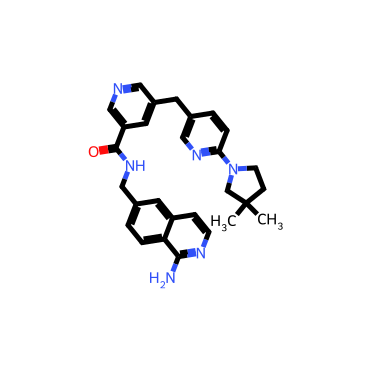 CC1(C)CCN(c2ccc(Cc3cncc(C(=O)NCc4ccc5c(N)nccc5c4)c3)cn2)C1